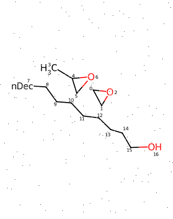 C1CO1.CC1CO1.CCCCCCCCCCCCCCCCCCO